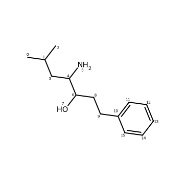 CC(C)CC(N)C(O)CCc1ccccc1